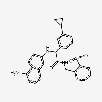 CS(=O)(=O)c1ccccc1CNC(=O)C(Nc1ccc2c(N)nccc2c1)c1cccc(C2CC2)c1